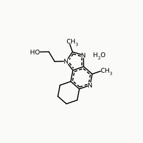 Cc1nc2c(c3c1nc(C)n3CCO)CCCC2.O